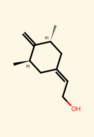 C=C1[C@H](C)CC(=CCO)C[C@H]1C